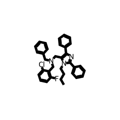 CCCCn1c(-c2ccccc2)nc(-c2ccccc2)c1CN(Cc1ccccc1)Cc1c(F)cccc1Cl